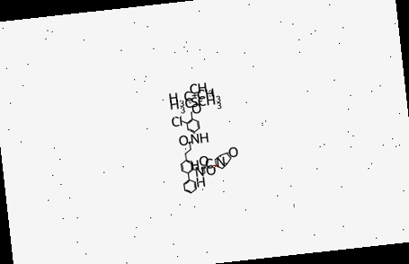 CCN1C2CC(OC(=O)Nc3cc(CCC(=O)Nc4ccc(CO[Si](C)(C)C(C)(C)C)c(Cl)c4)ccc3-c3ccccc3)CC1C1OC12